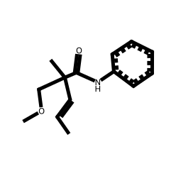 CC=CC(C)(COC)C(=O)Nc1ccccc1